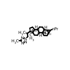 CCCC1C2[C@H]3CC[C@@H]4[C@H](CC[C@]5(C)[C@@H]([C@H](C)Cn6nnc(C)n6)CC[C@@H]45)[C@H]3CC[C@]12O